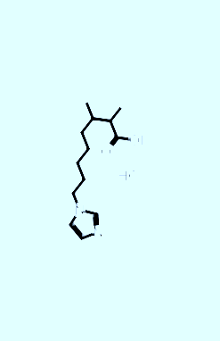 CC(CCCCCn1ccnc1)C(C)C(=O)O.Cl